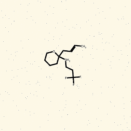 CC=CCC1([SiH2]CCC(F)(F)F)CCCCO1